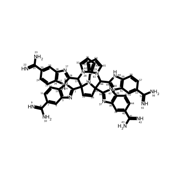 CN1C(c2nc3cc(C(=N)N)ccc3[nH]2)(C(c2nc3cc(C(=N)N)ccc3[nH]2)n2cccc2)C=CC1(c1nc2cc(C(=N)N)ccc2[nH]1)C(c1nc2cc(C(=N)N)ccc2[nH]1)n1cccc1